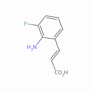 Nc1c(F)cccc1/C=C/C(=O)O